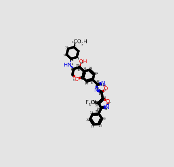 O=C(O)[C@H]1CC[C@H](N[C@@H]2COc3cc(-c4noc(-c5onc(-c6ccccc6)c5C(F)(F)F)n4)ccc3[C@@H]2O)CC1